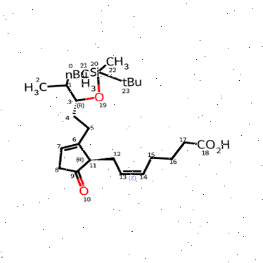 CCCCC(C)[C@@H](CCC1=CCC(=O)[C@@H]1C/C=C\CCCC(=O)O)O[Si](C)(C)C(C)(C)C